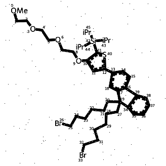 COCCOCCOCCOc1cc(-c2ccc3c(c2)C(CCCCCCBr)(CCCCCCBr)c2ccccc2-3)sc1[Si](C(C)C)(C(C)C)C(C)C